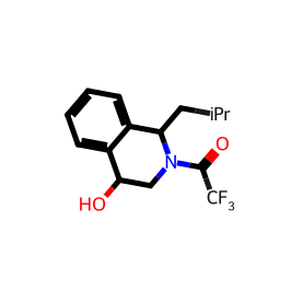 CC(C)CC1c2ccccc2C(O)CN1C(=O)C(F)(F)F